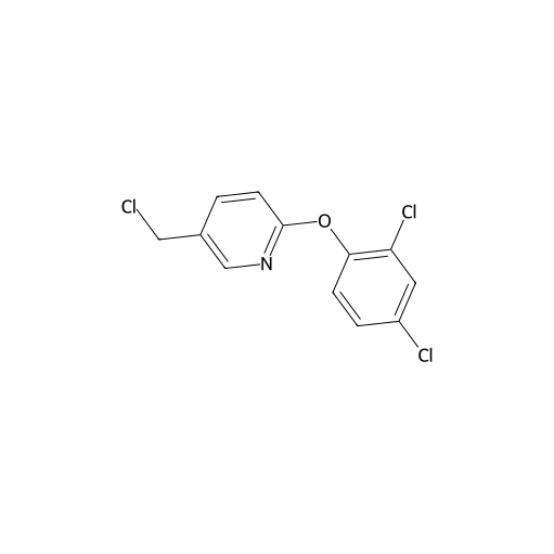 ClCc1ccc(Oc2ccc(Cl)cc2Cl)nc1